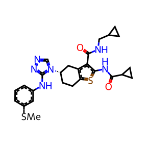 CSc1cccc(Nc2nncn2[C@H]2CCc3sc(NC(=O)C4CC4)c(C(=O)NCC4CC4)c3C2)c1